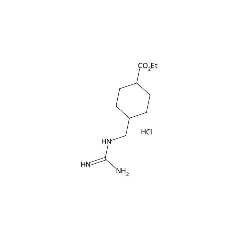 CCOC(=O)C1CCC(CNC(=N)N)CC1.Cl